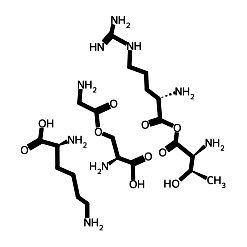 C[C@@H](O)[C@H](N)C(=O)OC(=O)[C@@H](N)CCCNC(=N)N.NCC(=O)OC[C@H](N)C(=O)O.NCCCC[C@H](N)C(=O)O